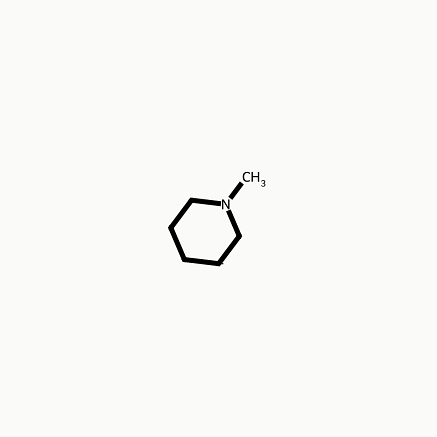 CN1C[CH]CCC1